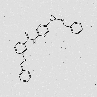 O=C(Nc1ccc(C2CC2NCc2ccccc2)cc1)c1cccc(OCc2ccccc2)c1